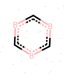 b1cbcbc1